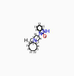 CC1(N2CCC(n3c(=O)[nH]c4ccccc43)CC2)CCCCCCCC1